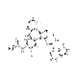 Cc1cccc(OCC(C)C)c1-n1nc2c(c1-c1ccc(NC(N)=O)c(F)c1)CN(c1nccn3ccnc13)CC2